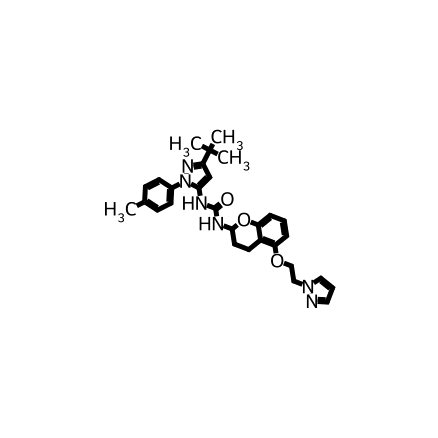 Cc1ccc(-n2nc(C(C)(C)C)cc2NC(=O)NC2CCc3c(OCCn4cccn4)cccc3O2)cc1